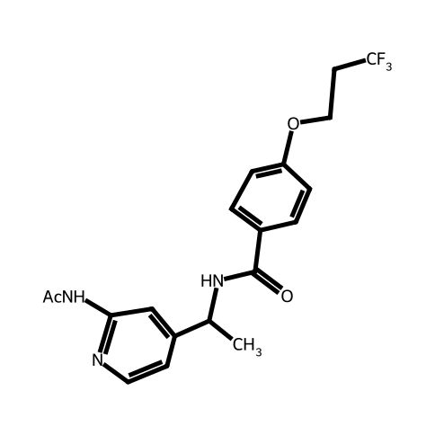 CC(=O)Nc1cc(C(C)NC(=O)c2ccc(OCCC(F)(F)F)cc2)ccn1